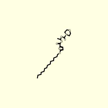 CCCCCCCCCCCCCCOc1ccc(C(=O)OC(C)OC(=O)N2CCOCC2)o1